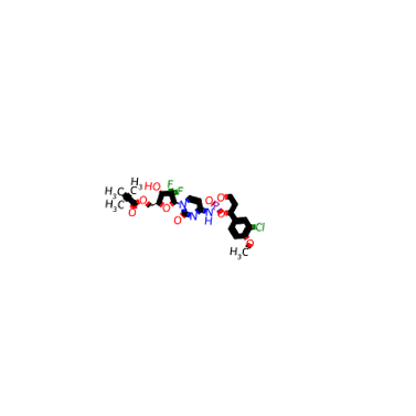 COc1ccc(C2CCOP(=O)(Nc3ccn([C@@H]4O[C@H](COC(=O)C(C)(C)C)[C@@H](O)C4(F)F)c(=O)n3)O2)cc1Cl